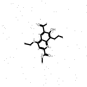 CCCc1c(O)c(C(C)=O)cc2c(SCC)cc(C(=O)OC)nc12